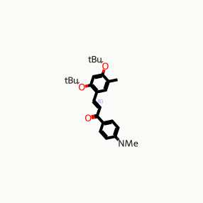 CNc1ccc(C(=O)/C=C/c2cc(C)c(OC(C)(C)C)cc2OC(C)(C)C)cc1